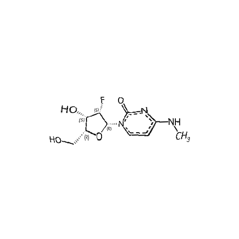 CNc1ccn([C@@H]2O[C@H](CO)[C@H](O)[C@@H]2F)c(=O)n1